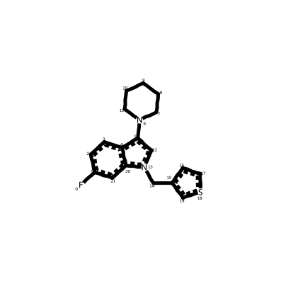 Fc1ccc2c(N3CCCCC3)cn(Cc3ccsc3)c2c1